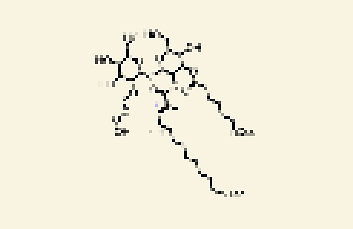 CCCCCCCCCCCCCCCCCC[C@H](C)/C=C(\C)C(=O)OC1C(OC2OC(CO)C(O)C(O)C2OSOOO)OC(CO)C(O)C1OC(=O)CCCCCCCCCCCCCCC